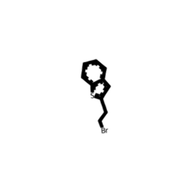 BrCCc1cc2ccccc2s1